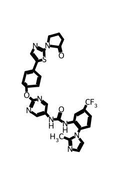 Cc1nccn1-c1ccc(C(F)(F)F)cc1NC(=O)Nc1cnc(Oc2ccc(-c3cnc(N4CCCC4=O)s3)cc2)nc1